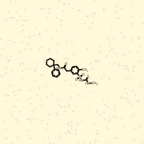 CNC(=S)NS(=O)(=O)c1cc(CC(=O)NCC2(c3ccccc3)CCCCC2)ccc1C